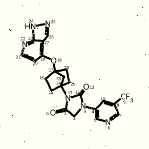 O=C1CN(c2cncc(C(F)(F)F)c2)C(=O)N1C12CCC(Oc3ccnc4[nH]ncc34)(CC1)C2